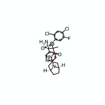 CC(C)(Oc1cc(F)c(Cl)cc1Cl)C(=O)N[C@H]1C[C@H]2CC[C@@H](C1)N2c1ccc(S(N)(=O)=O)cn1